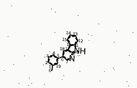 Cc1cccc(-c2cnc3[nH]c4ccccc4c3c2)c1